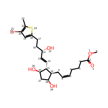 COC(=O)CCC/C=C\C[C@@H]1[C@@H](/C=C/[C@@H](O)CCc2cc(Br)c(C)s2)[C@H](O)C[C@@H]1O